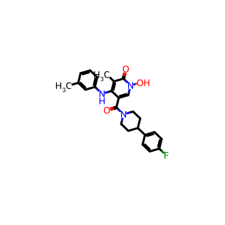 Cc1cccc(Nc2c(C(=O)N3CCC(c4ccc(F)cc4)CC3)cn(O)c(=O)c2C)c1